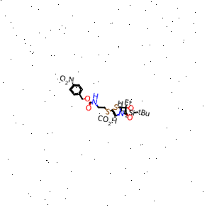 CCC1(O[SiH2]C(C)(C)C)C(=O)N2C(C(=O)O)=C(SCCNC(=O)OCc3ccc([N+](=O)[O-])cc3)S[C@H]21